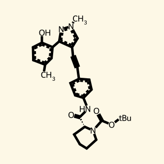 Cc1ccc(O)c(-c2nn(C)cc2C#Cc2ccc(NC(=O)[C@H]3CCCCN3C(=O)OC(C)(C)C)cc2)c1